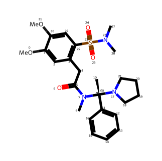 COc1cc(CC(=O)N(C)[C@@](C)(c2ccccc2)N2CCCC2)c(S(=O)(=O)N(C)C)cc1OC